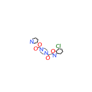 O=C(Oc1cccnc1)N1CCN(C(=O)c2nc3cccc(Cl)c3o2)CC1